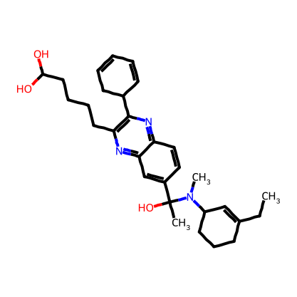 CCC1=CC(N(C)C(C)(O)c2ccc3nc(C4C=CC=CC4)c(CCCCC(O)O)nc3c2)CCC1